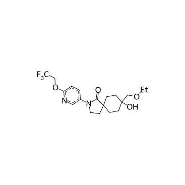 CCOCC1(O)CCC2(CCN(c3ccc(OCC(F)(F)F)nc3)C2=O)CC1